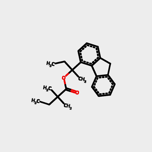 CCC(C)(C)C(=O)OC(C)(CC)c1cccc2c1-c1ccccc1C2